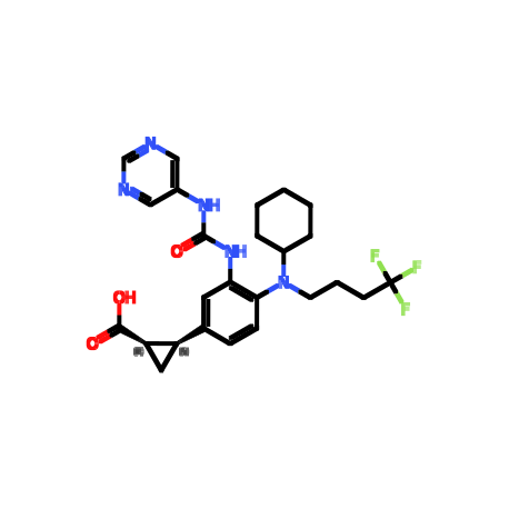 O=C(Nc1cncnc1)Nc1cc([C@H]2C[C@H]2C(=O)O)ccc1N(CCCC(F)(F)F)C1CCCCC1